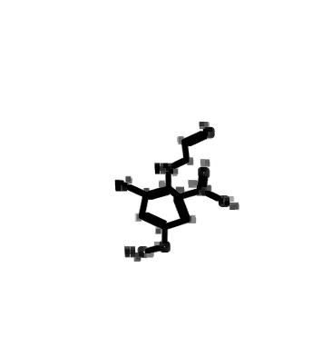 COc1cc(Br)c(NCC=O)c([N+](=O)[O-])c1